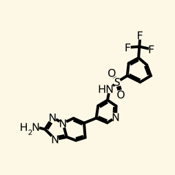 Nc1nc2ccc(-c3cncc(NS(=O)(=O)c4cccc(C(F)(F)F)c4)c3)cn2n1